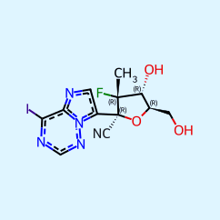 C[C@@]1(F)[C@H](O)[C@@H](CO)O[C@@]1(C#N)c1cnc2c(I)ncnn12